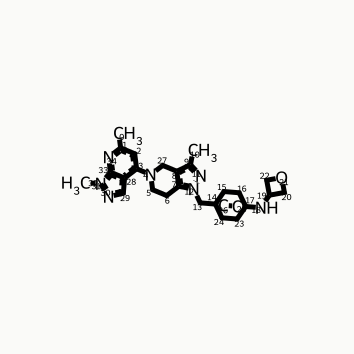 Cc1cc(N2CCc3c(c(C)nn3CC34CCC(NC5COC5)(CC3)CC4)C2)c2cnn(C)c2n1